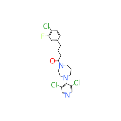 O=C(CCCc1ccc(Cl)c(F)c1)N1CCCN(c2c(Cl)cncc2Cl)CC1